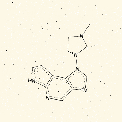 CN1CCN(n2cnc3cnc4[nH]ccc4c32)C1